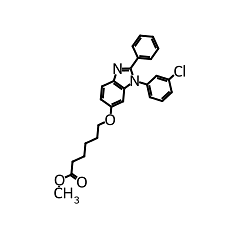 COC(=O)CCCCCOc1ccc2nc(-c3ccccc3)n(-c3cccc(Cl)c3)c2c1